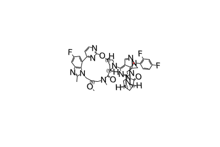 CO[C@H]1CN(C)C(=O)[C@@H]2C[C@@H](CN2c2nc(N3[C@@H]4C[C@H]3C(=O)N(CC3CC3)C4)nc3c2cnn3-c2ccc(F)cc2F)Oc2nccc(n2)-c2cc(F)cc3nc(C)n(c23)C1